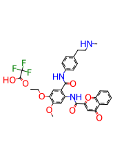 CCOc1cc(C(=O)Nc2ccc(CCNC)cc2)c(NC(=O)c2cc(=O)c3ccccc3o2)cc1OC.O=C(O)C(F)(F)F